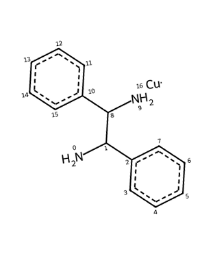 NC(c1ccccc1)C(N)c1ccccc1.[Cu]